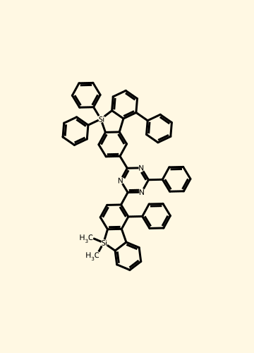 C[Si]1(C)c2ccccc2-c2c1ccc(-c1nc(-c3ccccc3)nc(-c3ccc4c(c3)-c3c(-c5ccccc5)cccc3[Si]4(c3ccccc3)c3ccccc3)n1)c2-c1ccccc1